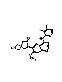 COc1cc2ncnc(Nc3cccc(Cl)c3F)c2cc1N1CC2(CNC2)CC1=O